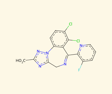 O=C(O)c1nc2n(n1)-c1ccc(Cl)c(Cl)c1C(c1ncccc1F)=NC2